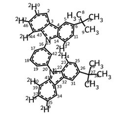 [2H]c1cc2c3cc(C(C)(C)C)cc([2H])c3n(-c3cccc(-n4c5c([2H])cc(C(C)(C)C)cc5c5cc([2H])c([2H])c([2H])c54)c3)c2c([2H])c1[2H]